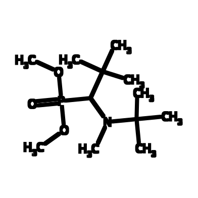 COP(=O)(OC)C(N(C)C(C)(C)C)C(C)(C)C